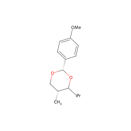 COc1ccc([C@H]2OC[C@@H](C)C(C(C)C)O2)cc1